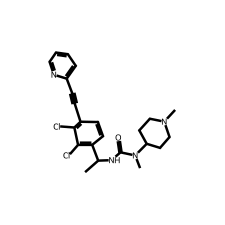 CC(NC(=O)N(C)C1CCN(C)CC1)c1ccc(C#Cc2ccccn2)c(Cl)c1Cl